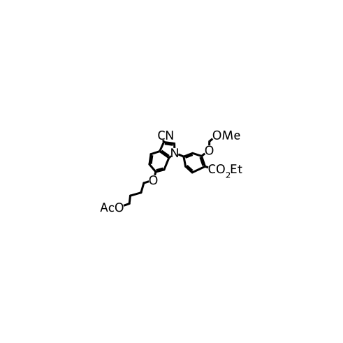 CCOC(=O)c1ccc(-n2cc(C#N)c3ccc(OCCCCOC(C)=O)cc32)cc1OCOC